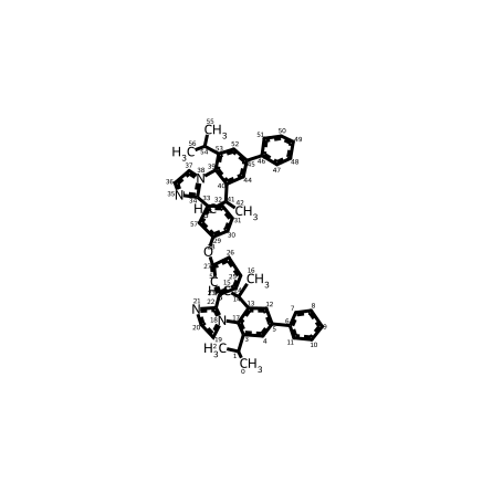 CC(C)c1cc(-c2ccccc2)cc(C(C)C)c1-n1ccnc1-c1cccc(Oc2cccc(-c3nccn3-c3c(C(C)C)cc(-c4ccccc4)cc3C(C)C)c2)c1